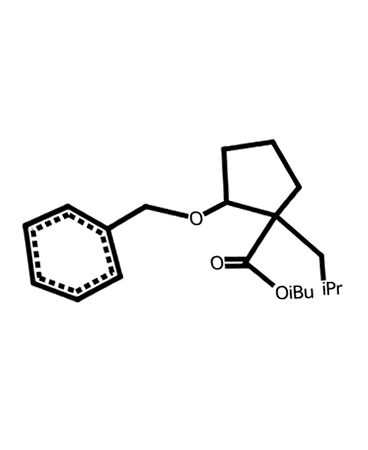 CC(C)COC(=O)C1(CC(C)C)CCCC1OCc1ccccc1